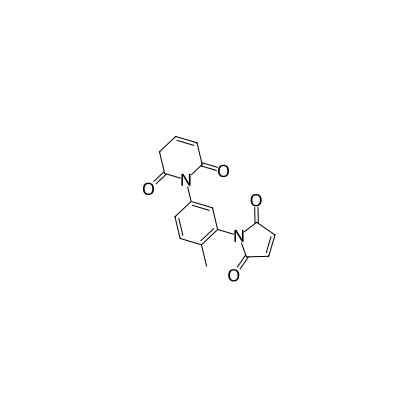 Cc1ccc(N2C(=O)C=CCC2=O)cc1N1C(=O)C=CC1=O